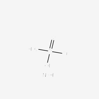 CCP(C)(=O)O.[NaH]